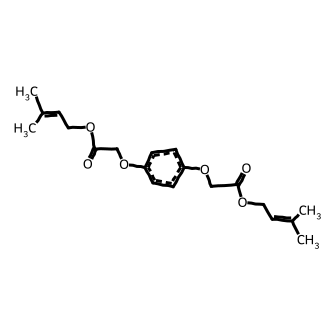 CC(C)=CCOC(=O)COc1ccc(OCC(=O)OCC=C(C)C)cc1